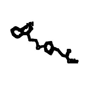 COC(=O)CCc1ccc(OCCc2c[nH]c3ccccc23)cc1